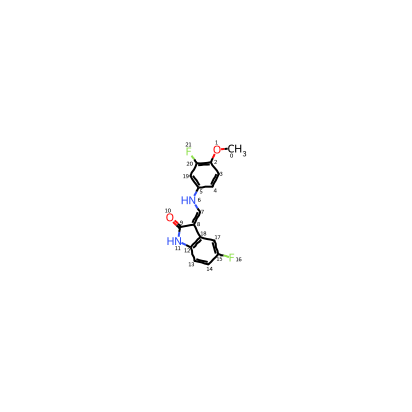 COc1ccc(NC=C2C(=O)Nc3ccc(F)cc32)cc1F